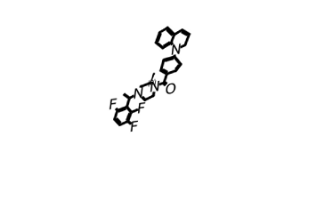 CC(c1c(F)ccc(F)c1F)N1CCN(C(=O)c2ccc(N3CC=Cc4ccccc43)cc2)[C@H](C)C1